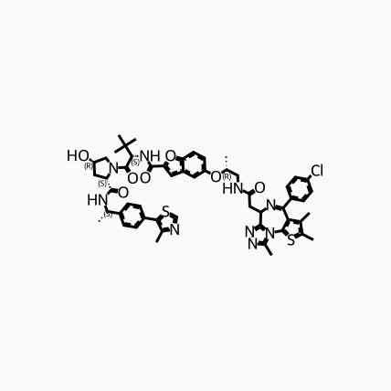 Cc1ncsc1-c1ccc([C@H](C)NC(=O)[C@@H]2C[C@@H](O)CN2C(=O)[C@@H](NC(=O)c2cc3cc(O[C@H](C)CNC(=O)CC4N=C(c5ccc(Cl)cc5)c5c(sc(C)c5C)-n5c(C)nnc54)ccc3o2)C(C)(C)C)cc1